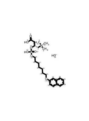 C[N+](C)(C)C[C@@H](CC(=O)O)OP(=O)(O)OCCCCCCCOc1ccc2ccccc2c1.[OH-]